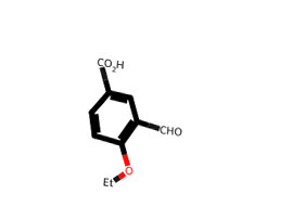 CCOc1ccc(C(=O)O)cc1C=O